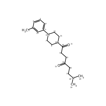 Cc1cccc(N2CCN(C(=O)CCC(=O)CCN(C)C)CC2)c1